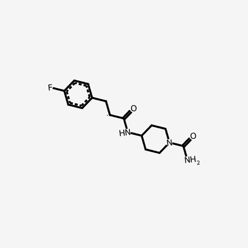 NC(=O)N1CCC(NC(=O)[CH]Cc2ccc(F)cc2)CC1